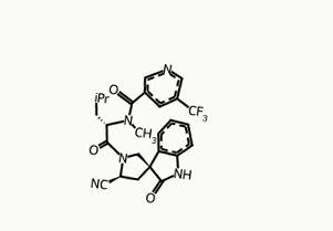 CC(C)C[C@@H](C(=O)N1C[C@]2(C[C@H]1C#N)C(=O)Nc1ccccc12)N(C)C(=O)c1cncc(C(F)(F)F)c1